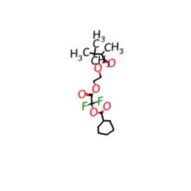 CC(C(=O)OCCOC(=O)C(F)(F)OC(=O)C1CCCCC1)C(C)(C)C